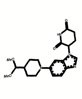 COC(OC)C1CCN(c2ccc3ncn(C4CCC(=O)NC4=O)c3c2)CC1